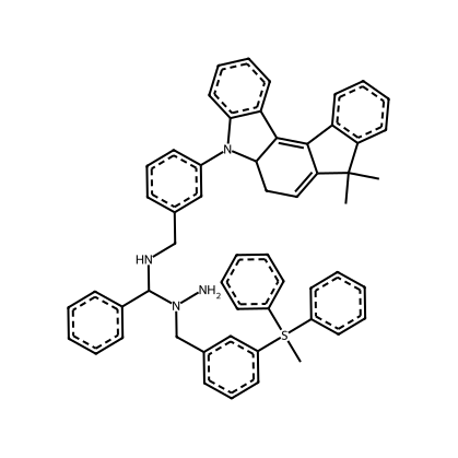 CC1(C)C2=CCC3C(=C2c2ccccc21)c1ccccc1N3c1cccc(CNC(c2ccccc2)N(N)Cc2cccc(S(C)(c3ccccc3)c3ccccc3)c2)c1